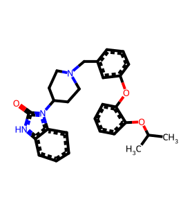 CC(C)Oc1ccccc1Oc1cccc(CN2CCC(n3c(=O)[nH]c4ccccc43)CC2)c1